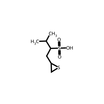 CC(C)C(CC1CS1)S(=O)(=O)O